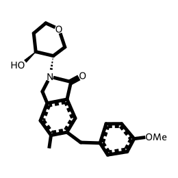 COc1ccc(Cc2cc3c(cc2C)CN([C@H]2COCC[C@@H]2O)C3=O)cc1